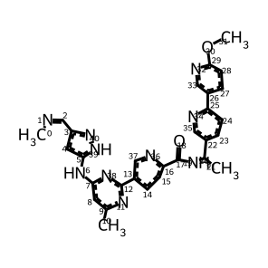 C/N=C\c1cc(Nc2cc(C)nc(-c3ccc(C(=O)NC(C)c4ccc(-c5ccc(OC)nc5)nc4)nc3)n2)[nH]n1